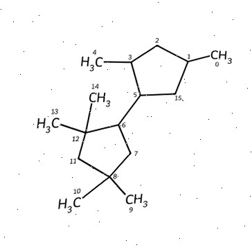 CC1CC(C)C(C2CC(C)(C)CC2(C)C)C1